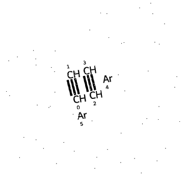 C#C.C#C.[Ar].[Ar]